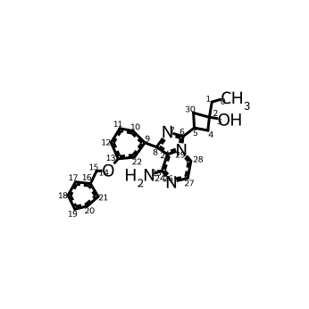 CCC1(O)CC(c2nc(-c3cccc(OCc4ccccc4)c3)c3c(N)nccn23)C1